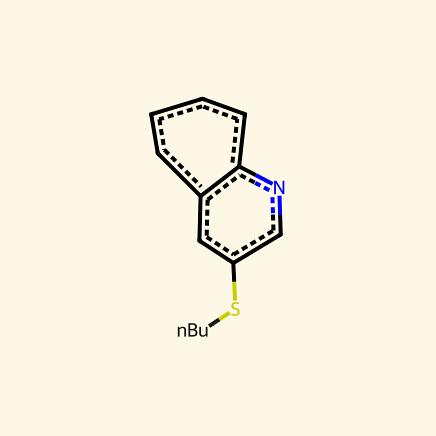 CCCCSc1cnc2ccccc2c1